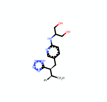 CC(C)[C@H](C(=O)O)[C@H](Cc1ccc(NC(CO)CO)nc1)c1nnn[nH]1